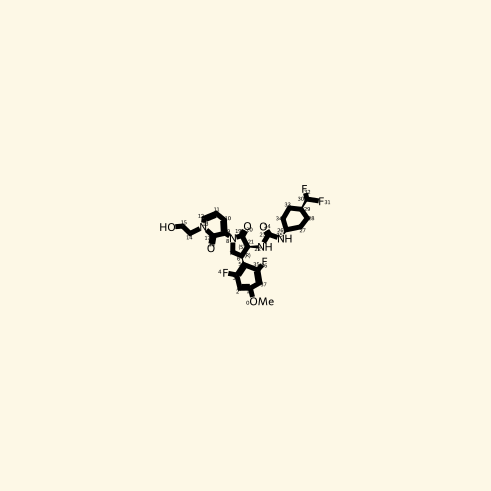 COc1cc(F)c([C@@H]2CN(c3cccn(CCO)c3=O)C(=O)[C@H]2NC(=O)N[C@H]2CC[C@H](C(F)F)CC2)c(F)c1